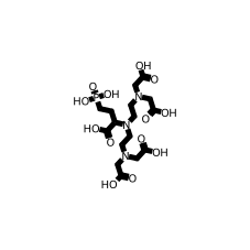 O=C(O)CN(CCN(CCN(CC(=O)O)CC(=O)O)C(CCP(=O)(O)O)C(=O)O)CC(=O)O